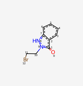 O=c1c2ccccc2[nH]n1CCBr